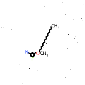 CCCCCCCCCCCCCCCCC(C)OCc1cc(F)cc(C#N)c1